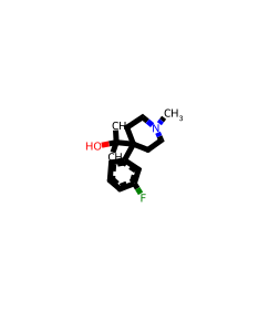 CN1CCC(c2cccc(F)c2)(C(C)(C)O)CC1